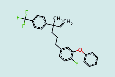 C=CC(C)(CCCc1ccc(F)c(Oc2ccccc2)c1)c1ccc(C(F)(F)F)cc1